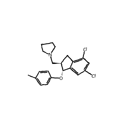 Cc1ccc(O[C@H]2c3cc(Cl)cc(Cl)c3C[C@@H]2CN2CCCC2)cc1